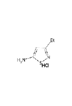 CCc1cc(N)sn1.Cl